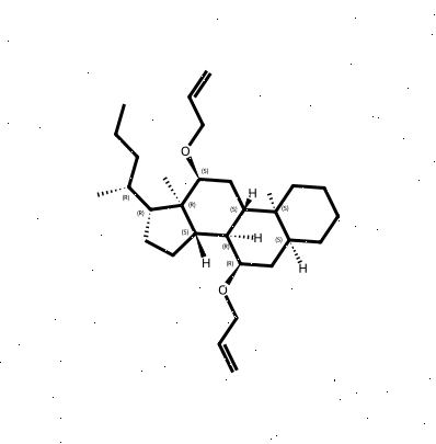 C=CCO[C@H]1C[C@H]2[C@@H]([C@H](OCC=C)C[C@@H]3CCCC[C@@]32C)[C@@H]2CC[C@H]([C@H](C)CCC)[C@@]12C